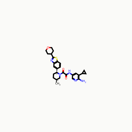 C[C@H]1CC[C@@H](c2ccc3sc(C4CCOCC4)nc3c2)N(C(=O)C(=O)Nc2cnc(N)c(C3CC3)c2)C1